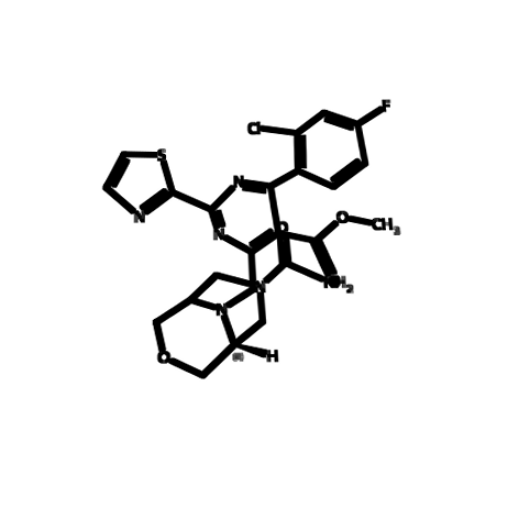 COC(=O)c1c(CN2C3COC[C@H]2CN(C(N)=O)C3)nc(-c2nccs2)nc1-c1ccc(F)cc1Cl